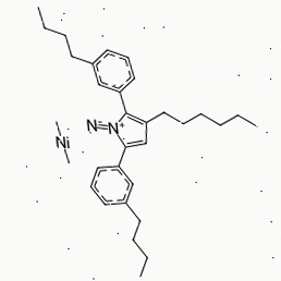 CCCCCCC1=C(c2cccc(CCCC)c2)[N+](=[N-])C(c2cccc(CCCC)c2)=C1.[CH3][Ni][CH3]